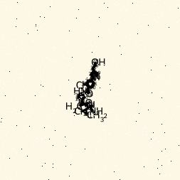 C=C(c1onc(N)c1/C(Cl)=C\C)N1CC[C@@H](NC(=O)c2ccc(-n3cc(CCO)cn3)cc2Cl)C1